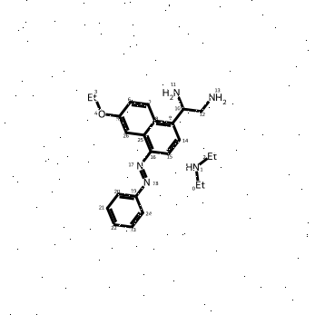 CCNCC.CCOc1ccc2c(C(N)CN)ccc(N=Nc3ccccc3)c2c1